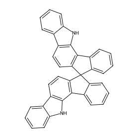 c1ccc2c(c1)-c1c(ccc3c1[nH]c1ccccc13)C21c2ccccc2-c2c1ccc1c2[nH]c2ccccc21